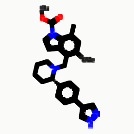 COc1cc(C)c2c(ccn2C(=O)OC(C)(C)C)c1CN1CCCC[C@H]1c1ccc(-c2cn[nH]c2)cc1